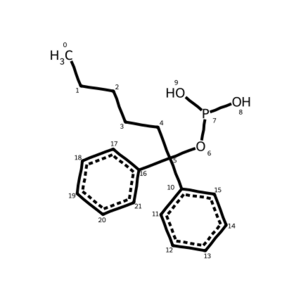 CCCCCC(OP(O)O)(c1ccccc1)c1ccccc1